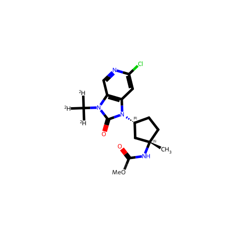 [2H]C([2H])([2H])n1c(=O)n([C@@H]2CC[C@](C)(NC(=O)OC)C2)c2cc(Cl)ncc21